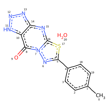 Cc1ccc(-c2nn3c(=O)c4[nH]nnc4nc3s2)cc1.O